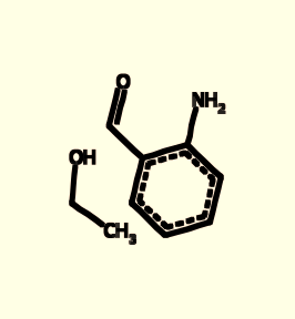 CCO.Nc1ccccc1C=O